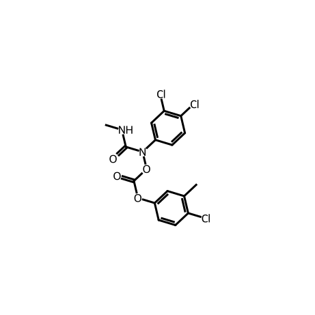 CNC(=O)N(OC(=O)Oc1ccc(Cl)c(C)c1)c1ccc(Cl)c(Cl)c1